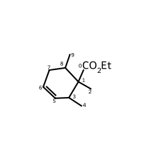 CCOC(=O)C1(C)C(C)C=CCC1C